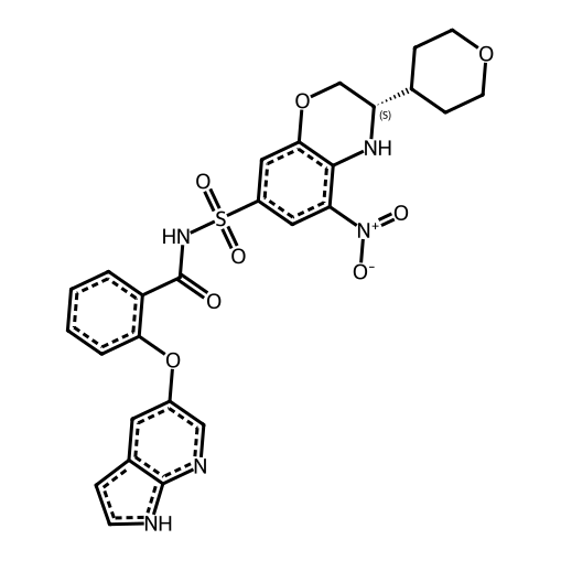 O=C(NS(=O)(=O)c1cc2c(c([N+](=O)[O-])c1)N[C@@H](C1CCOCC1)CO2)c1ccccc1Oc1cnc2[nH]ccc2c1